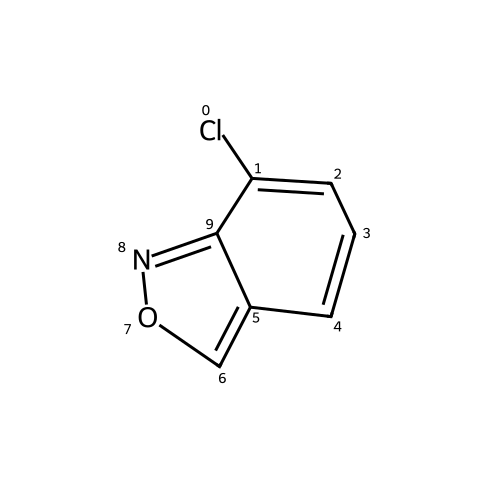 Clc1cccc2conc12